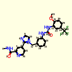 CNC(=O)c1cc(-c2nccn2Cc2cccc(NC(=O)Nc3cc(C(F)(F)F)ccc3OC)c2)ccn1